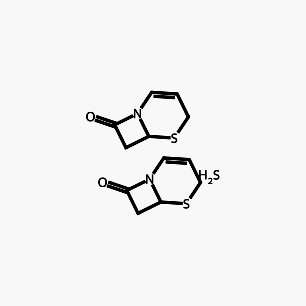 O=C1CC2SCC=CN12.O=C1CC2SCC=CN12.S